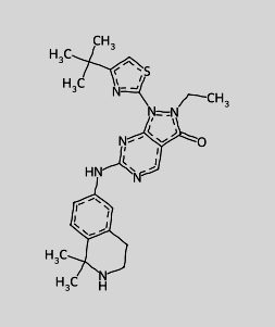 CCn1c(=O)c2cnc(Nc3ccc4c(c3)CCNC4(C)C)nc2n1-c1nc(C(C)(C)C)cs1